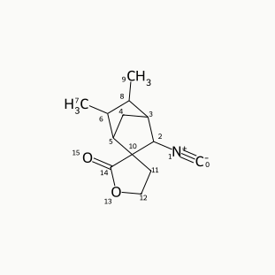 [C-]#[N+]C1C2CC(C(C)C2C)C12CCOC2=O